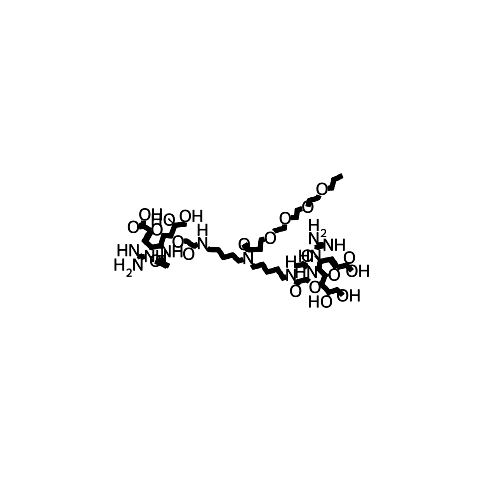 CCCOCCOCCOCCOCCC(=O)N(CCCCCNC(=O)CO[C@@H]([C@@H]1OC(C(=O)O)=C[C@H](NC(=N)N)[C@H]1NC(C)=O)[C@H](O)CO)CCCCCNC(=O)CO[C@@H]([C@@H]1OC(C(=O)O)=C[C@H](NC(=N)N)[C@H]1NC(C)=O)[C@H](O)CO